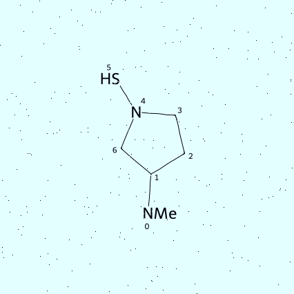 CNC1CCN(S)C1